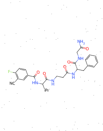 CC(C)C(NC(=O)c1ccc(F)c(C#N)c1)C(=O)NCCC(=O)NC(Cc1ccccc1)C(=O)NCC(N)=O